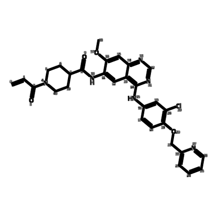 C=CC(=O)N1CCC(C(=O)Nc2cc3c(Nc4ccc(OCc5ccccn5)c(Cl)c4)ncnc3cc2OC)CC1